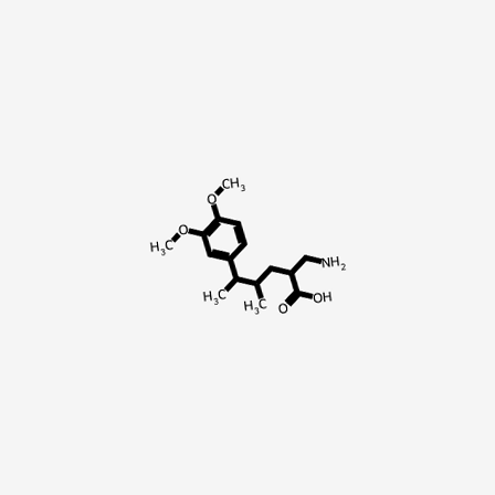 COc1ccc(C(C)C(C)CC(CN)C(=O)O)cc1OC